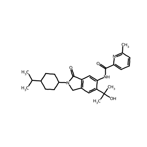 Cc1cccc(C(=O)Nc2cc3c(cc2C(C)(C)O)CN(C2CCC(C(C)C)CC2)C3=O)n1